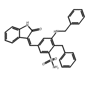 NS(=O)(=O)c1cc(C=C2C(=O)Nc3ccccc32)cc(NCc2ccccc2)c1Cc1ccccc1